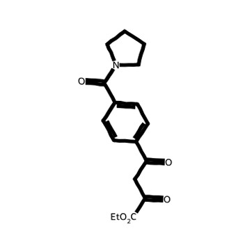 CCOC(=O)C(=O)CC(=O)c1ccc(C(=O)N2CCCC2)cc1